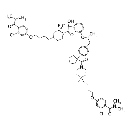 CC(Cc1ccc(C2(C(=O)N3CCC4(CC3)C[C@H]4CCCOc3ccc(C(=O)N(C)C)c(Cl)c3)CCCC2)cc1)Oc1cccc([C@](O)(C(=O)N2CCC(CCCCOc3ccc(C(=O)N(C)C)c(Cl)c3)CC2)C(F)(F)F)c1